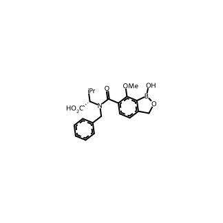 COc1c(C(=O)N(Cc2ccccc2)[C@H](C(=O)O)C(C)C)ccc2c1B(O)OC2